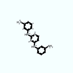 Nc1cccc(Nc2ccnc(Nc3cccc(N)c3)n2)c1